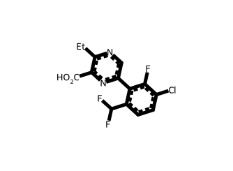 CCc1ncc(-c2c(C(F)F)ccc(Cl)c2F)nc1C(=O)O